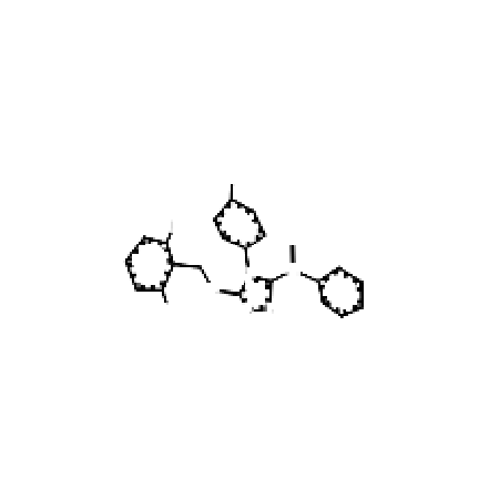 CN(c1ccccc1)c1nnc(SCc2c(F)cccc2F)n1-c1ccc(F)cc1